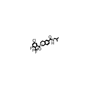 CC(C)CNC(=O)c1ccc2c(c1)CCN(C(=O)c1cc(Cl)cc(F)c1C(F)(F)F)C2